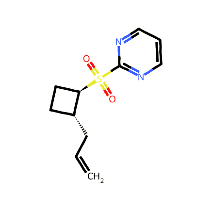 C=CC[C@@H]1CC[C@H]1S(=O)(=O)c1ncccn1